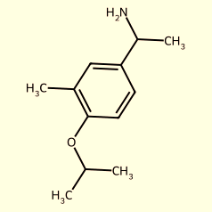 Cc1cc(C(C)N)ccc1OC(C)C